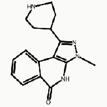 Cn1nc(C2CCNCC2)c2c3ccccc3c(=O)[nH]c21